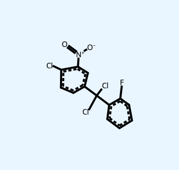 O=[N+]([O-])c1cc(C(Cl)(Cl)c2ccccc2F)ccc1Cl